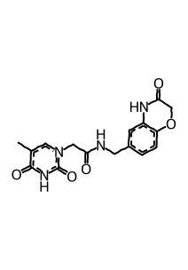 Cc1cn(CC(=O)NCc2ccc3c(c2)NC(=O)CO3)c(=O)[nH]c1=O